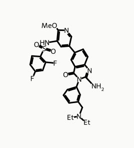 CCN(CC)Cc1cccc(-n2c(N)nc3ccc(-c4cnc(OC)c(NS(=O)(=O)c5ccc(F)cc5F)c4)cc3c2=O)c1